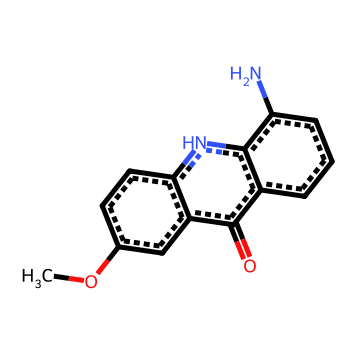 COc1ccc2[nH]c3c(N)cccc3c(=O)c2c1